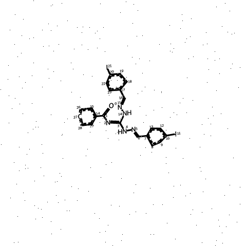 O=C(N=C(N/N=C/c1ccc(I)cc1)N/N=C/c1ccc(I)cc1)c1ccccc1